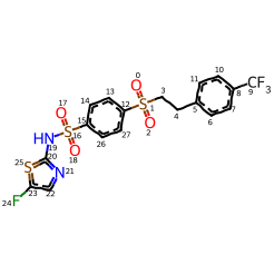 O=S(=O)(CCc1ccc(C(F)(F)F)cc1)c1ccc(S(=O)(=O)Nc2ncc(F)s2)cc1